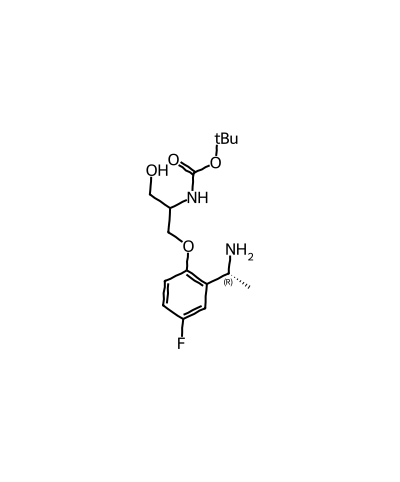 C[C@@H](N)c1cc(F)ccc1OCC(CO)NC(=O)OC(C)(C)C